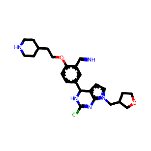 N=Cc1cc(C2NC(Cl)=Nc3c2ccn3CC2CCOC2)ccc1OCCC1CCNCC1